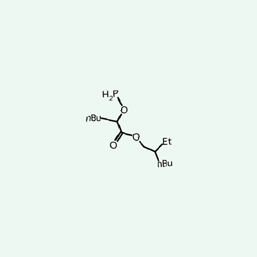 CCCCC(CC)COC(=O)C(CCCC)OP